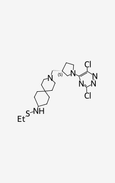 CCSNC1CCC2(CC1)CCN(C[C@@H]1CCN(c3nc(Cl)nnc3Cl)C1)CC2